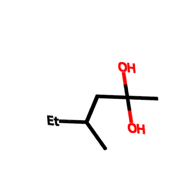 CCC(C)CC(C)(O)O